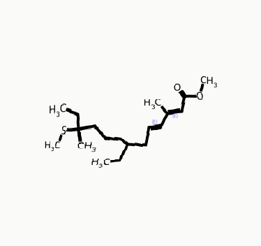 CCC(C/C=C/C(C)=C/C(=O)OC)CCCC(C)(CC)SC